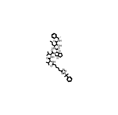 CCCC(NC(=O)[C@@H]1[C@H]2CCC[C@H]2CN1C(=O)[C@@H](NC(=O)[C@@H](NC(=O)CCCCc1nnn(C(C)(C)c2ccccc2)n1)C(C)C)C(C)C)C(O)C(=O)N[C@@H](C)c1ccccc1